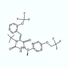 C[C@@H](NC(=O)C(=Cc1ccccc1OC(F)(F)F)N(C(=O)O)C(C)(C)C)c1ccc(OCC(F)(F)F)cn1